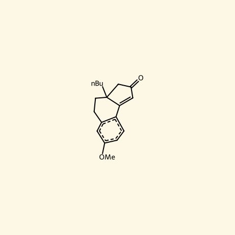 CCCCC12CCc3cc(OC)ccc3C1=CC(=O)C2